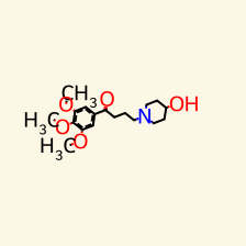 COc1cc(C(=O)CCCN2CCC(O)CC2)cc(OC)c1OC